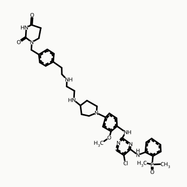 COc1cc(N2CCC(NCCNCCc3ccc(CN4CCC(=O)NC4=O)cc3)CC2)ccc1Nc1ncc(Cl)c(Nc2ccccc2P(C)(C)=O)n1